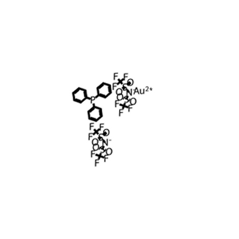 O=S(=O)([N-]S(=O)(=O)C(F)(F)F)C(F)(F)F.O=S(=O)([N-]S(=O)(=O)C(F)(F)F)C(F)(F)F.[Au+2].c1ccc(P(c2ccccc2)c2ccccc2)cc1